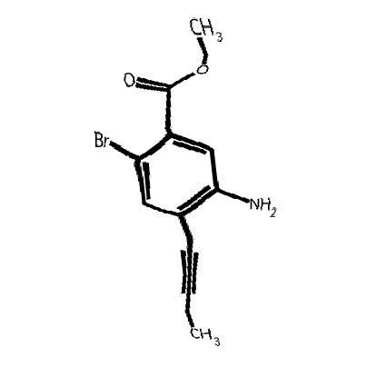 CC#Cc1cc(Br)c(C(=O)OC)cc1N